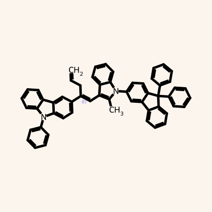 C=CC/C(=C\c1c(C)n(-c2ccc3c(c2)-c2ccccc2C3(c2ccccc2)c2ccccc2)c2ccccc12)c1ccc2c(c1)c1ccccc1n2-c1ccccc1